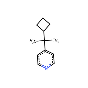 CC(C)(c1ccncc1)C1CCC1